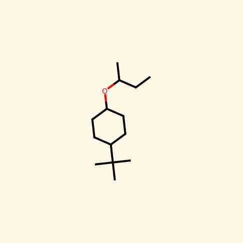 CCC(C)OC1CCC(C(C)(C)C)CC1